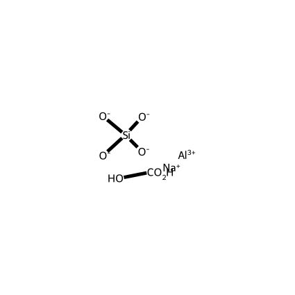 O=C(O)O.[Al+3].[Na+].[O-][Si]([O-])([O-])[O-]